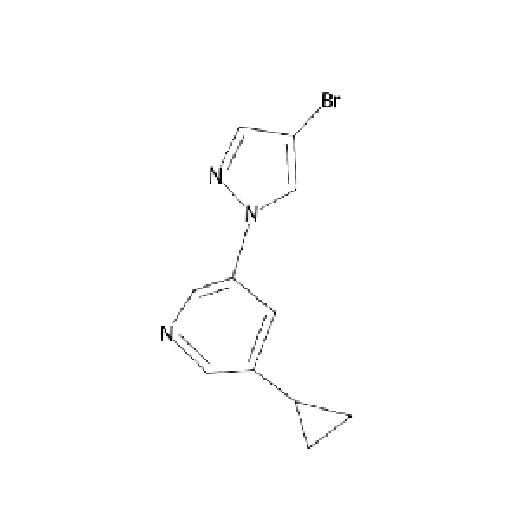 Brc1cnn(-c2cncc(C3CC3)c2)c1